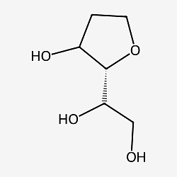 OCC(O)[C@H]1OCCC1O